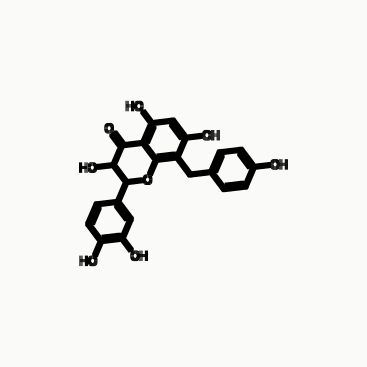 O=C1c2c(O)cc(O)c(Cc3ccc(O)cc3)c2OC(c2ccc(O)c(O)c2)C1O